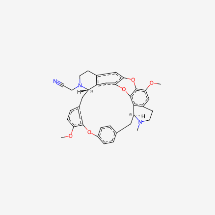 COc1ccc2cc1Oc1ccc(cc1)C[C@H]1c3c(cc(OC)c4c3Oc3cc5c(cc3O4)CCN(CC#N)[C@H]5C2)CCN1C